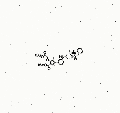 COC(=O)c1sc(-c2cccc(NC3CCN(S(=O)(=O)Cc4ccccc4C(F)(F)F)CC3)c2)c(C)c1OCC(=O)OC(C)(C)C